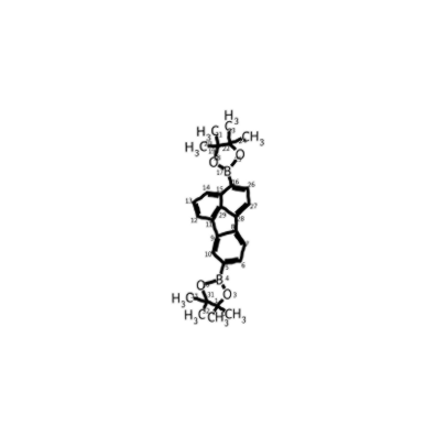 CC1(C)OB(c2ccc3c(c2)-c2cccc4c(B5OC(C)(C)C(C)(C)O5)ccc-3c24)OC1(C)C